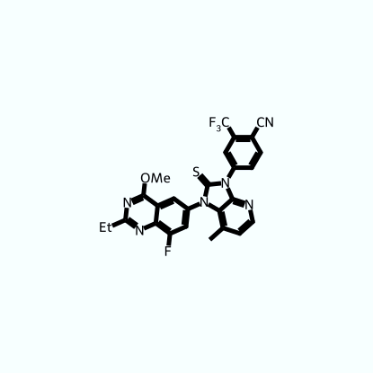 CCc1nc(OC)c2cc(-n3c(=S)n(-c4ccc(C#N)c(C(F)(F)F)c4)c4nccc(C)c43)cc(F)c2n1